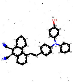 N#Cc1c(C#N)c2cccc(C=Cc3ccc(N(c4ccccc4)c4ccc(O)cc4)cc3)c2c2ccccc12